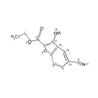 CCOC(=O)c1oc2ccc(C#N)cc2c1O